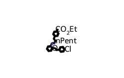 CCCCCC(/C=C/c1ccccc1OCc1ccc(Cl)cc1)Cc1ccc(C(=O)OCC)cc1